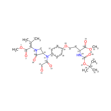 COC(=O)C(=C(C)C)N1CC(N(C(=O)C=O)c2ccc(OCCC(NC(=O)OC(C)(C)C)C(=O)OC)cc2)C1=O